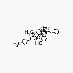 CC(=O)O[C@@]12CCC(N(C)C(=O)/C=C/c3ccc(C(F)(F)F)cc3)C3Oc4c(O)ccc5c4[C@@]31CCN(CCc1ccccc1)[C@@H]2C5